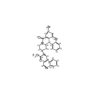 O=C(c1cc(Br)cc(Br)c1)N1CCC(N(Cc2ccnc3ccccc23)C(=O)C(F)(F)F)CC1Cc1ccccc1